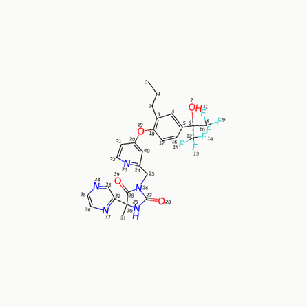 CCCc1cc(C(O)(C(F)(F)F)C(F)(F)F)ccc1Oc1ccnc(CN2C(=O)NC(C)(c3cnccn3)C2=O)c1